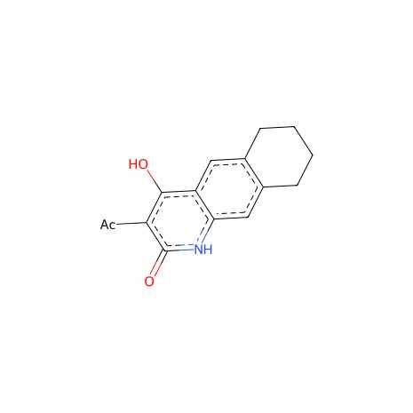 CC(=O)c1c(O)c2cc3c(cc2[nH]c1=O)CCCC3